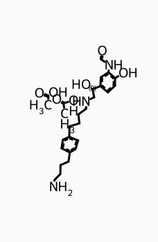 CC(=O)O.CC(=O)O.NCCCCc1ccc(CCCCNC[C@H](O)c2ccc(O)c(NC=O)c2)cc1